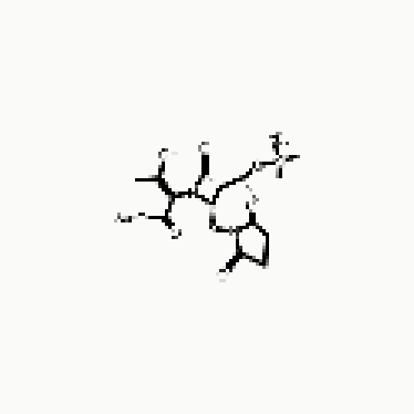 COC(=O)C(=C(C)O)N1C(=O)[C@H]([C@@H](C)O[Si](C)(C)C(C)(C)C)[C@H]1SN1C(=O)CCC1=O